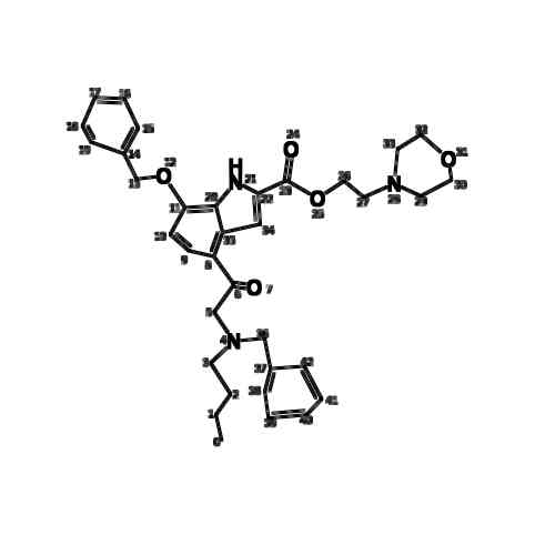 CCCCN(CC(=O)c1ccc(OCc2ccccc2)c2[nH]c(C(=O)OCCN3CCOCC3)cc12)Cc1ccccc1